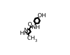 Cc1cc(C(=O)Nc2ccc(O)cc2)n[nH]1